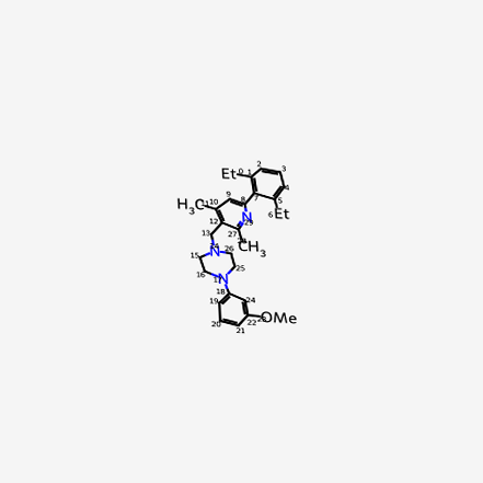 CCc1cccc(CC)c1-c1cc(C)c(CN2CCN(c3cccc(OC)c3)CC2)c(C)n1